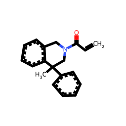 C=CC(=O)N1Cc2ccccc2C(C)(c2ccccc2)C1